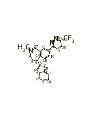 CN1CCC(c2cc3ccccc3s2)c2ccc(-c3ccc(C(F)(F)F)nn3)cc2C1